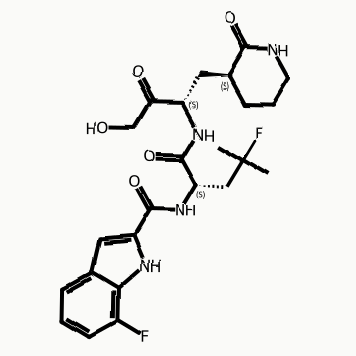 CC(C)(F)C[C@H](NC(=O)c1cc2cccc(F)c2[nH]1)C(=O)N[C@@H](C[C@@H]1CCCNC1=O)C(=O)CO